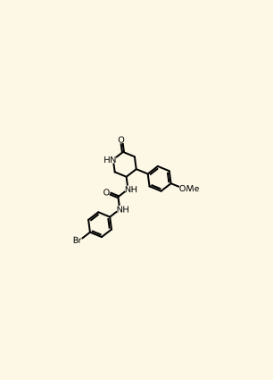 COc1ccc(C2CC(=O)NCC2NC(=O)Nc2ccc(Br)cc2)cc1